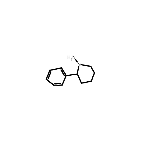 NN1CCCCC1c1ccccc1